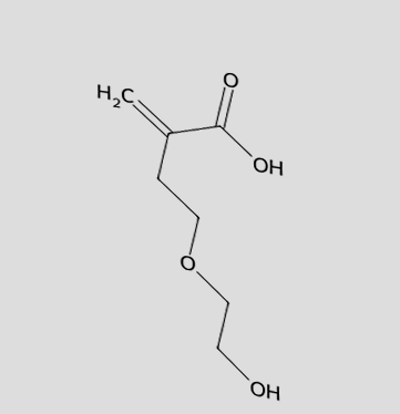 C=C(CCOCCO)C(=O)O